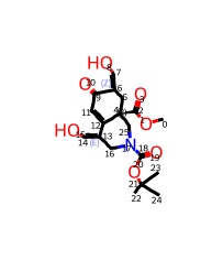 COC(=O)[C@]12C/C(=C/O)C(=O)C=C1/C(=C\O)CN(C(=O)OC(C)(C)C)C2